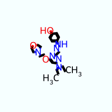 CCCN(CCC)c1cc(OCCN2CCOCC2)nc(/C=N/Nc2ccc(O)cc2)n1